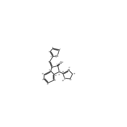 O=C1C(=Cc2cccs2)c2ccccc2N1C1=NCCS1